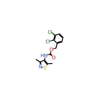 Cc1nsc(C)c1NC(=O)OCc1cccc(Cl)c1Cl